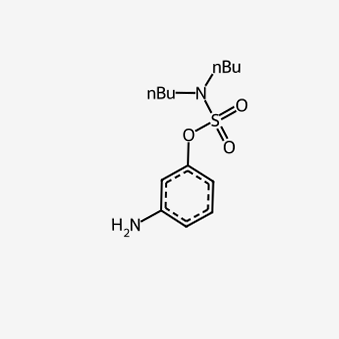 CCCCN(CCCC)S(=O)(=O)Oc1cccc(N)c1